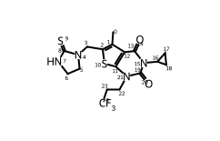 Cc1c(CN2CCNC2=S)sc2c1c(=O)n(C1CC1)c(=O)n2CCC(F)(F)F